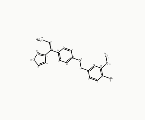 CC(C)c1ccc(COc2ccc([C@H](CC(=O)O)c3ccon3)cc2)cc1OC(F)(F)F